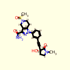 CN1CC[C@@](O)(C#Cc2cccc(-n3nc(C(N)=O)c4c3CCN([S@@+](C)[O-])C4)c2)C1=O